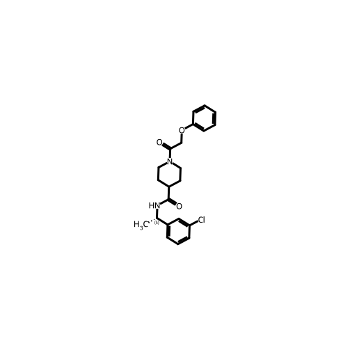 C[C@H](NC(=O)C1CCN(C(=O)COc2ccccc2)CC1)c1cccc(Cl)c1